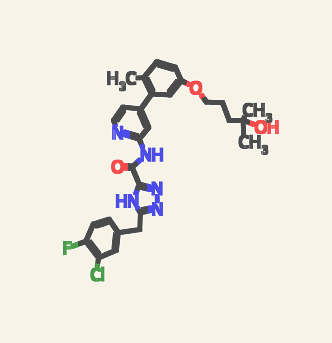 Cc1ccc(OCCCC(C)(C)O)cc1-c1ccnc(NC(=O)c2nnc(Cc3ccc(F)c(Cl)c3)[nH]2)c1